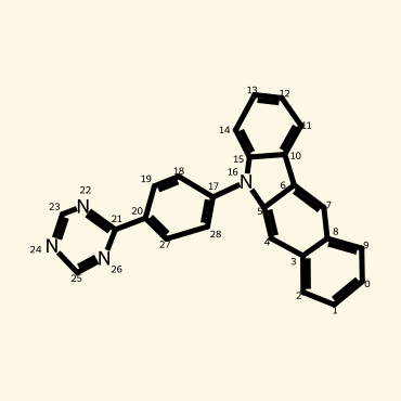 c1ccc2cc3c(cc2c1)c1ccccc1n3-c1ccc(-c2ncncn2)cc1